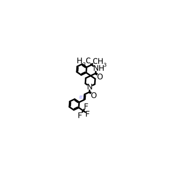 CC1(C)NC(=O)C2(CCN(C(=O)/C=C/c3ccccc3C(F)(F)F)CC2)c2ccccc21